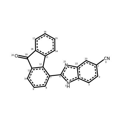 N#Cc1ccc2[nH]c(-c3cccc4c3-c3ccccc3C4=O)nc2c1